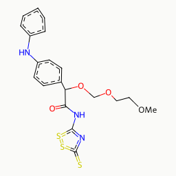 COCCOCOC(C(=O)Nc1nc(=S)ss1)c1ccc(Nc2ccccc2)cc1